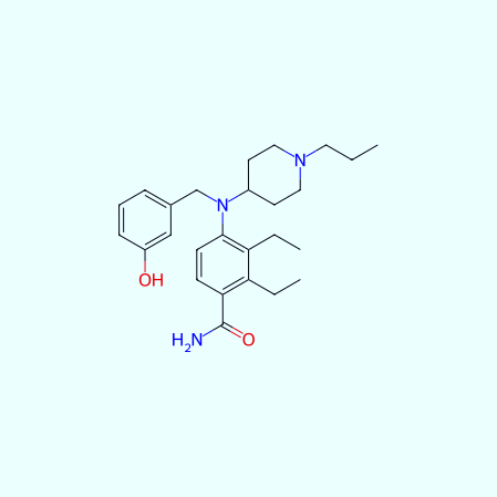 CCCN1CCC(N(Cc2cccc(O)c2)c2ccc(C(N)=O)c(CC)c2CC)CC1